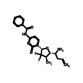 C=CCC(N)[C@H]1O[C@@H](n2ccc(NC(=O)c3ccccc3)nc2=O)C(F)(F)[C@@H]1C